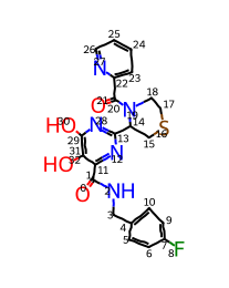 O=C(NCc1ccc(F)cc1)c1nc(C2CSCCN2C(=O)c2ccccn2)nc(O)c1O